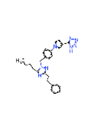 CCCCc1nc(CCc2ccccc2)nn1Cc1ccc(-n2ccc(-c3nnn[nH]3)c2)cc1